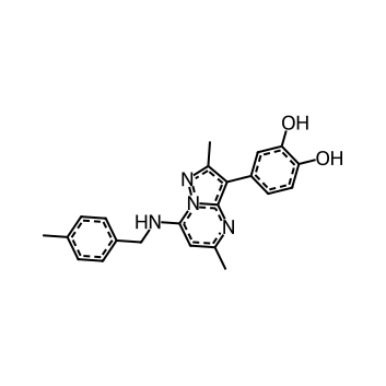 Cc1ccc(CNc2cc(C)nc3c(-c4ccc(O)c(O)c4)c(C)nn23)cc1